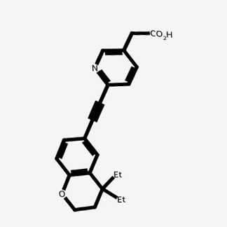 CCC1(CC)CCOc2ccc(C#Cc3ccc(CC(=O)O)cn3)cc21